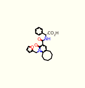 O=C(N[C@@H](C(=O)O)c1ccccc1)c1cc2c(n(Cc3ccco3)c1=O)CCCCCC2